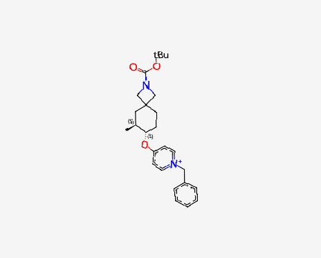 C[C@H]1CC2(CC[C@@H]1Oc1cc[n+](Cc3ccccc3)cc1)CN(C(=O)OC(C)(C)C)C2